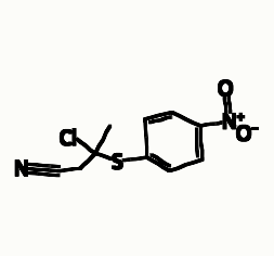 CC(Cl)(CC#N)Sc1ccc([N+](=O)[O-])cc1